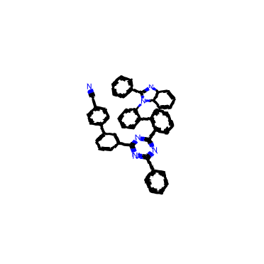 N#Cc1ccc(C2=CC=CC(c3nc(-c4ccccc4)nc(-c4ccccc4-c4ccccc4N4C(c5ccccc5)=NC5C=CC=CC54)n3)C2)cc1